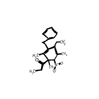 CCC(=O)C1(C)C(C)=C(Cc2ccccc2)C(CC)=C(C)C1[N+](=O)[O-]